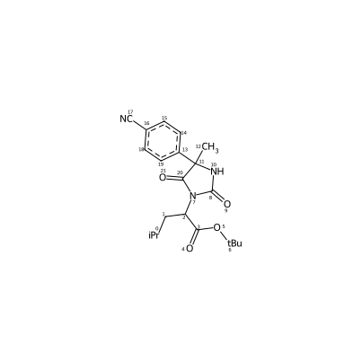 CC(C)CC(C(=O)OC(C)(C)C)N1C(=O)NC(C)(c2ccc(C#N)cc2)C1=O